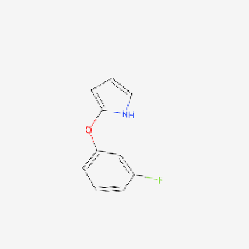 Fc1cccc(Oc2ccc[nH]2)c1